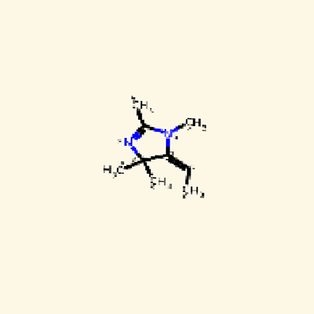 C/C=C1/N(C)C(C)=NC1(C)C